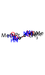 COO/C=N\[C@H](C(=O)N1CCC[C@H]1c1nc2cc(C#Cc3ccc(-c4c[nH]c([C@@H]5CCCN5C(=O)[C@@H](NC(=O)OC)C(C)C)n4)cc3)ccc2[nH]1)[C@@H](C)OC